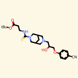 CC(C)(C)OC(=O)CCNC(=S)N1CC2CC(CN(CC(O)COc3ccc(C#N)cc3)C2)C1